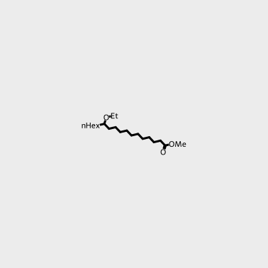 CCCCCCC(CCCCCCCCCCC(=O)OC)OCC